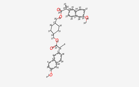 COc1ccc2cc(C(C)C(=O)OCC3CCC(COC(=O)[C@@H](C)c4ccc5cc(OC)ccc5c4)CC3)ccc2c1